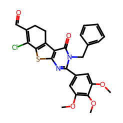 COc1cc(-c2nc3sc4c(c3c(=O)n2Cc2ccccc2)CCC(C=O)=C4Cl)cc(OC)c1OC